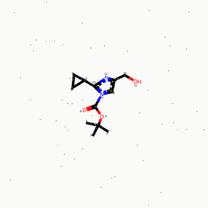 CC(C)(C)OC(=O)n1cc(CO)nc1C1CC1